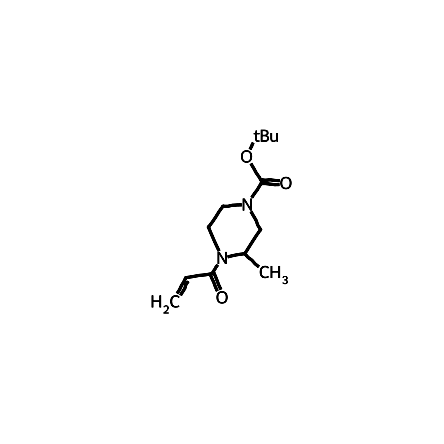 C=CC(=O)N1CCN(C(=O)OC(C)(C)C)CC1C